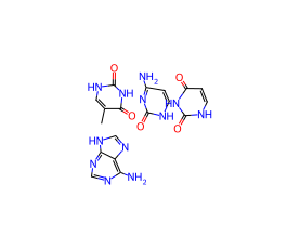 Cc1c[nH]c(=O)[nH]c1=O.Nc1cc[nH]c(=O)n1.Nc1ncnc2[nH]cnc12.O=c1cc[nH]c(=O)[nH]1